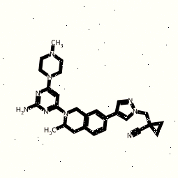 CC1Cc2ccc(-c3cnn(CC4(C#N)CC4)c3)cc2CN1c1cc(N2CCN(C)CC2)nc(N)n1